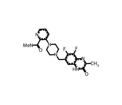 CNC(=O)c1ncccc1N1CCN(Cc2cc3[nH]c(=O)c(C)nc3c(F)c2F)CC1